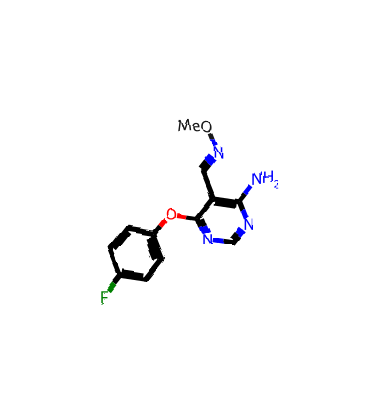 CO/N=C/c1c(N)ncnc1Oc1ccc(F)cc1